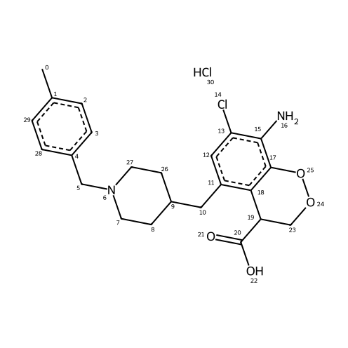 Cc1ccc(CN2CCC(Cc3cc(Cl)c(N)c4c3C(C(=O)O)COO4)CC2)cc1.Cl